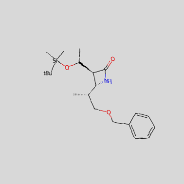 CC(O[Si](C)(C)C(C)(C)C)[C@H]1C(=O)N[C@@H]1[C@@H](C)COCc1ccccc1